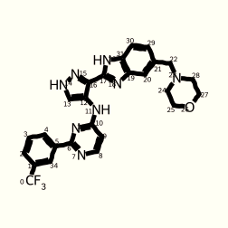 FC(F)(F)c1cccc(-c2nccc(Nc3c[nH]nc3-c3nc4cc(CN5CCOCC5)ccc4[nH]3)n2)c1